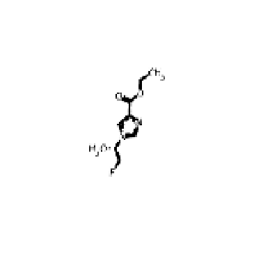 CCOC(=O)c1cn([C@@H](C)CF)cn1